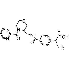 NC(NO)c1ccc(C(=O)NCC2COCCN2C(=O)c2ccccn2)cc1